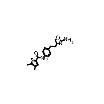 Cc1cc(C(=O)Nc2ccc(CCC3COC(N)=N3)cc2)sc1C